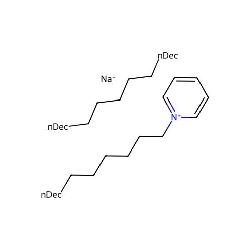 CCCCCCCCCCCCCCCCCCCCCCCCC.CCCCCCCCCCCCCCCC[n+]1ccccc1.[Na+]